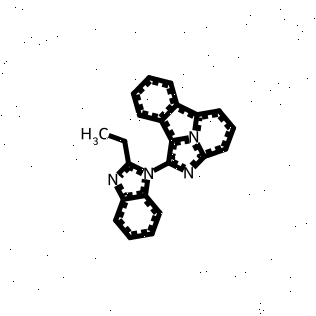 CCc1nc2ccccc2n1-c1nc2cccc3c4ccccc4c1n23